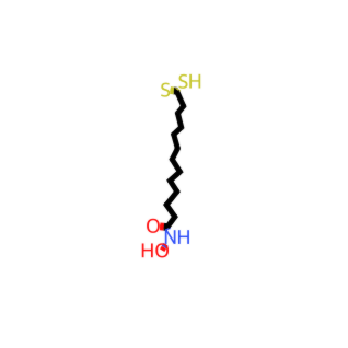 O=C(CCCCCCCCCCCC(=S)S)NO